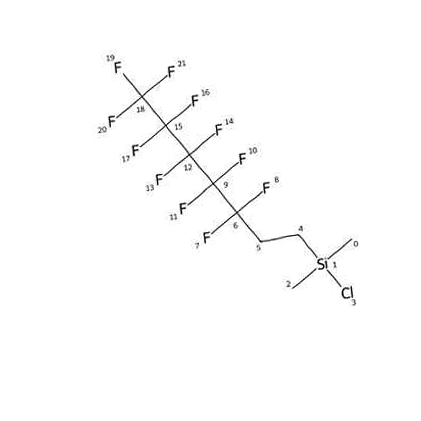 C[Si](C)(Cl)CCC(F)(F)C(F)(F)C(F)(F)C(F)(F)C(F)(F)F